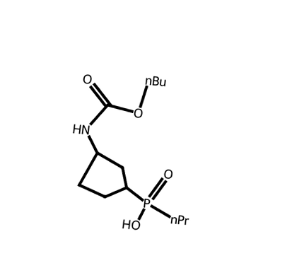 CCCCOC(=O)NC1CCC(P(=O)(O)CCC)C1